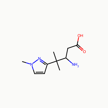 Cn1ccc(C(C)(C)C(N)CC(=O)O)n1